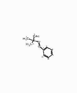 CC(=O)OC(C)(C)/N=N/c1ccccc1